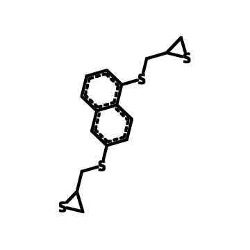 c1cc(SCC2CS2)c2ccc(SCC3CS3)cc2c1